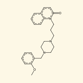 COc1ccccc1CN1CCN(CCCn2c(=O)ccc3ccccc32)CC1